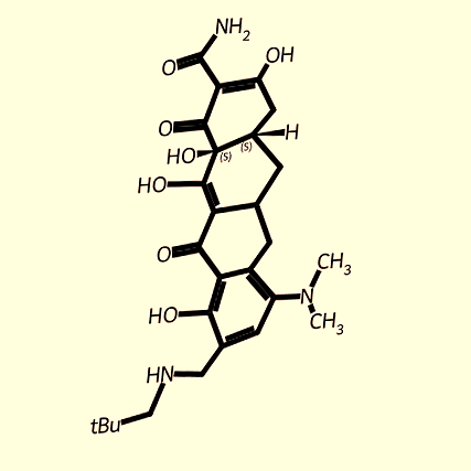 CN(C)c1cc(CNCC(C)(C)C)c(O)c2c1CC1C[C@H]3CC(O)=C(C(N)=O)C(=O)[C@@]3(O)C(O)=C1C2=O